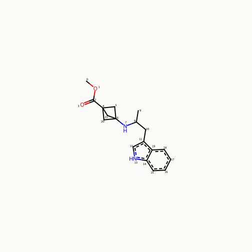 COC(=O)C12CC(NC(C)Cc3c[nH]c4ccccc34)(C1)C2